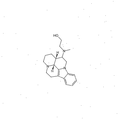 CN(CCO)C1Cn2c3c(c4ccccc42)CCN2CCC[C@H]1[C@H]32